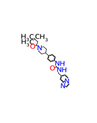 CC(C)(C)CC(=O)N1CCC(c2ccc(NC(=O)NCc3ccn4ccnc4c3)cc2)CC1